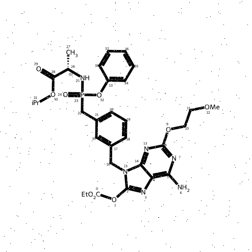 CCOC(=O)Oc1nc2c(N)nc(OCCOC)nc2n1Cc1cccc(CP(=O)(N[C@@H](C)C(=O)OC(C)C)Oc2ccccc2)c1